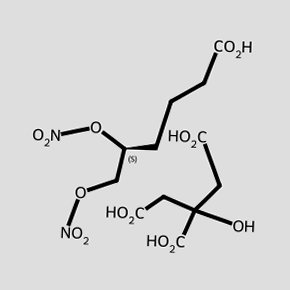 O=C(O)CC(O)(CC(=O)O)C(=O)O.O=C(O)CCC[C@@H](CO[N+](=O)[O-])O[N+](=O)[O-]